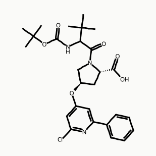 CC(C)(C)OC(=O)NC(C(=O)N1C[C@H](Oc2cc(Cl)nc(-c3ccccc3)c2)C[C@H]1C(=O)O)C(C)(C)C